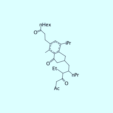 CCCCCCC(=O)CCc1cc(C(C)C)c2c(c1C)C(=O)CC(CC(CCC)C(CC)C(=O)CC(C)=O)C2